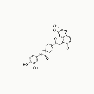 COc1cnc2ccc(=O)n(CC(=O)N3CCC4(CC3)CN(c3ccc(O)c(O)c3)C4=O)c2c1